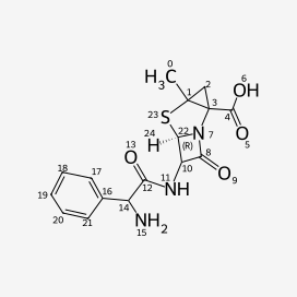 CC12CC1(C(=O)O)N1C(=O)C(NC(=O)C(N)c3ccccc3)[C@H]1S2